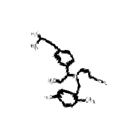 CC/C=C\N(Cc1cc(C)ccc1C)C(CC)c1ccc(CC(C)C)cc1